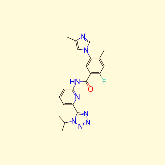 Cc1cn(-c2cc(C(=O)Nc3cccc(-c4nnnn4C(C)C)n3)c(F)cc2C)cn1